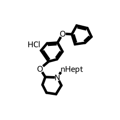 CCCCCCCN1CCCCC1Oc1ccc(Oc2ccccc2)cc1.Cl